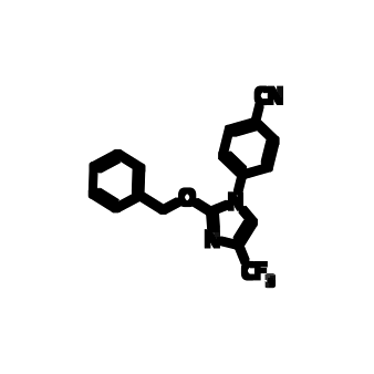 N#Cc1ccc(-n2cc(C(F)(F)F)nc2OCc2ccccc2)cc1